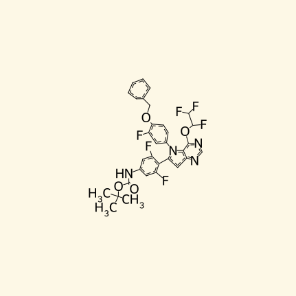 CC(C)(C)OC(=O)Nc1cc(F)c(-c2cc3ncnc(OC(F)C(F)F)c3n2-c2ccc(OCc3ccccc3)c(F)c2)c(F)c1